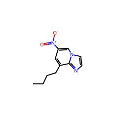 CCCCc1cc([N+](=O)[O-])cn2ccnc12